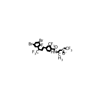 CC(C[S+]([O-])CC(F)(F)F)NC(=O)c1ccc(/C(F)=C/C(c2cc(Br)cc(Br)c2)C(F)(F)F)cc1C(F)(F)F